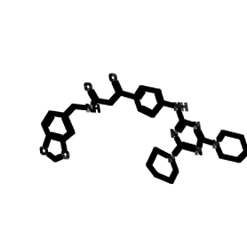 O=C(CC(=O)c1ccc(Nc2nc(N3CCCCC3)nc(N3CCCCC3)n2)cc1)NCc1ccc2c(c1)OCO2